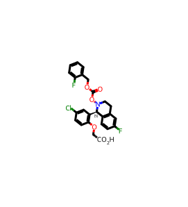 O=C(O)COc1ccc(Cl)cc1[C@@H]1c2ccc(F)cc2CCN1OC(=O)OCc1ccccc1F